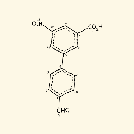 O=Cc1ccc(-c2cc(C(=O)O)cc([N+](=O)[O-])c2)cc1